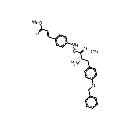 COC(=O)C=Cc1ccc(NOC(=O)[C@@H](N)Cc2ccc(OCc3ccccc3)cc2)cc1.Cl